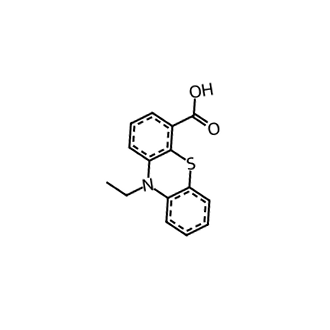 CCN1c2ccccc2Sc2c(C(=O)O)cccc21